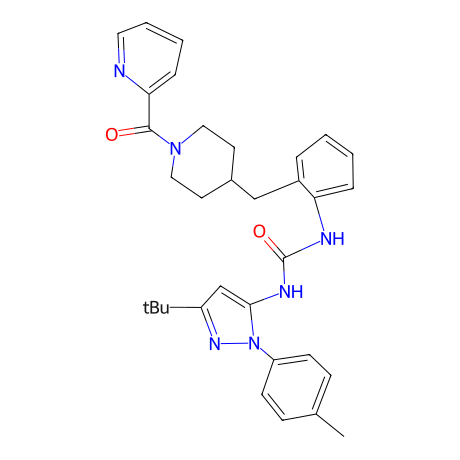 Cc1ccc(-n2nc(C(C)(C)C)cc2NC(=O)Nc2ccccc2CC2CCN(C(=O)c3ccccn3)CC2)cc1